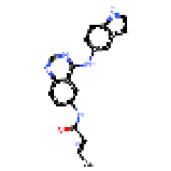 CC(=O)/C=C/C(=O)Nc1ccc2ncnc(Nc3ccc4[nH]ccc4c3)c2c1